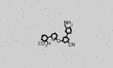 N#Cc1cc(Oc2cccc(-c3ccccc3C(=O)O)n2)cc(-c2cccc(CN)c2)c1